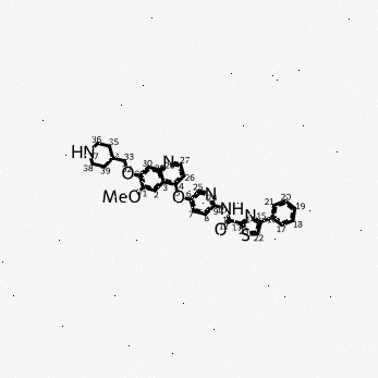 COc1cc2c(Oc3ccc(NC(=O)c4nc(-c5ccccc5)cs4)nc3)ccnc2cc1OCC1CCNCC1